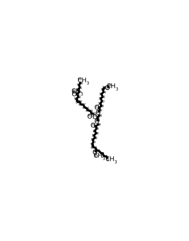 CCCCCCC(C/C=C\CCCCCCCC(=O)COCC(COCC(=O)CCCCCCC/C=C\OC)OCC(=O)CCCCCCC/C=C\CC(CCCCCC)OC)OC